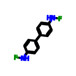 FNc1ccc(-c2ccc(NF)cc2)cc1